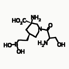 NC(CO)C(=O)N1C[C@@H](CCB(O)O)C[C@](N)(C(=O)O)C1